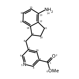 COC(=O)c1cncc(CC2CCc3c(N)cccc32)c1